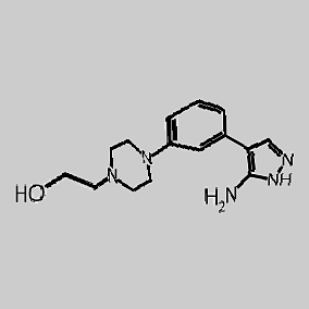 Nc1[nH]ncc1-c1cccc(N2CCN(CCO)CC2)c1